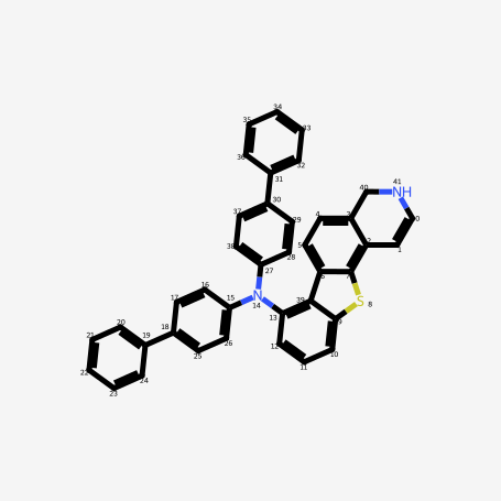 C1=Cc2c(ccc3c2sc2cccc(N(c4ccc(-c5ccccc5)cc4)c4ccc(-c5ccccc5)cc4)c23)CN1